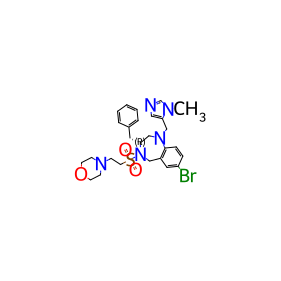 Cn1cncc1CN1C[C@@H](Cc2ccccc2)N(S(=O)(=O)CCN2CCOCC2)Cc2cc(Br)ccc21